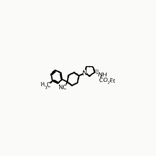 CCOC(=O)N[C@H]1CCN(C2CCC(C#N)(c3cccc(C)c3)CC2)C1